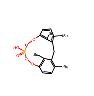 CC(C)(C)c1ccc2c(C(C)(C)C)c1Cc1c(C(C)(C)C)ccc(c1C(C)(C)C)OOP(=O)(O)OO2